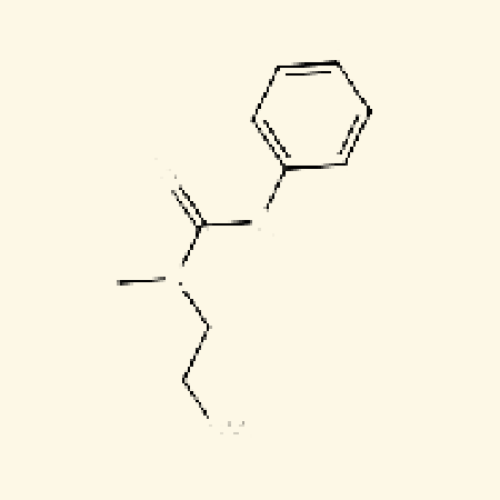 COCCN(C)C(=O)Sc1ccccc1